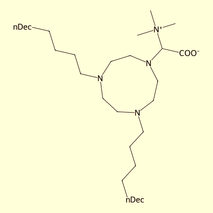 CCCCCCCCCCCCCCN1CCN(CCCCCCCCCCCCCC)CCN(C(C(=O)[O-])[N+](C)(C)C)CC1